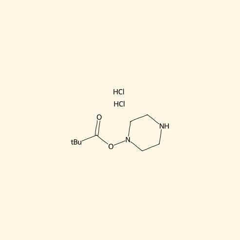 CC(C)(C)C(=O)ON1CCNCC1.Cl.Cl